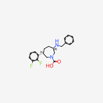 O=C(O)N1C[C@H](NCc2ccccc2)CC[C@@H](c2cccc(F)c2F)C1